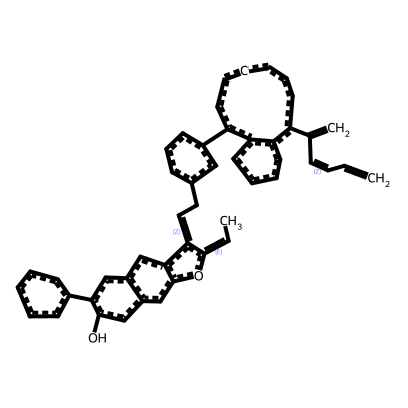 C=C/C=C\C(=C)c1ccccccc(-c2cccc(C/C=c3\c(=C/C)oc4cc5cc(O)c(-c6ccccc6)cc5cc34)c2)c2ccccc12